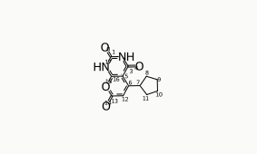 O=c1[nH]c(=O)c2c(C3CCCC3)cc(=O)oc2[nH]1